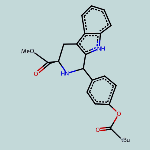 COC(=O)[C@H]1Cc2c([nH]c3ccccc23)C(c2ccc(OC(=O)C(C)(C)C)cc2)N1